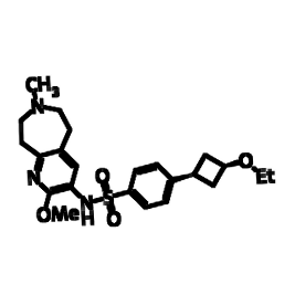 CCO[C@H]1C[C@@H](c2ccc(S(=O)(=O)Nc3cc4c(nc3OC)CCN(C)CC4)cc2)C1